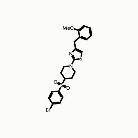 COc1ccccc1Cc1csc(N2CCC(S(=O)(=O)c3ccc(Br)cc3)CC2)n1